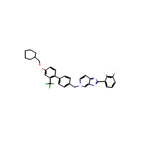 Fc1cccc(-c2nc3ccn(Cc4ccc(-c5ccc(OCC6CCCCC6)cc5C(F)(F)F)cc4)cc-3n2)c1F